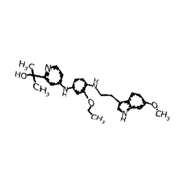 CCOc1cc(Nc2ccnc(C(C)(C)O)c2)ccc1NCCc1c[nH]c2cc(OC)ccc12